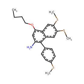 CCCCOc1cc(N)c(-c2ccc(SC)cc2)c2cc(SC)c(SC)cc12